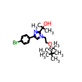 CC(C)(O)c1nc(-c2ccc(Br)cc2)cn1CCO[Si](C)(C)C(C)(C)C